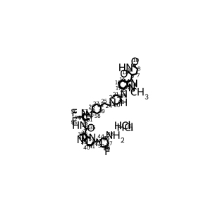 Cl.Cl.Cn1nc(C2CCC(=O)NC2=O)c2cccc(NC3CCN(CCC4CCC(n5cc(NC(=O)c6cnn7ccc(N8C[C@H](N)C[C@@H](F)C8)nc67)c(C(F)F)n5)CC4)CC3)c21